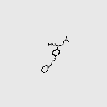 CN(C)CCC(O)c1ccc(OCCN2CCCCC2)cc1